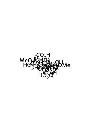 CO[C@@H]1OC(COCC(=O)O)[C@@H](O[C@@H]2OC(CO)[C@@H](O[C@@H]3OC(CO)[C@@H](O[C@@H]4OC(COCC(=O)O)[C@@H](OC)[C@H](O)C4O)C(O)C3O)[C@H](O)C2OCC(=O)O)C(O)C1O